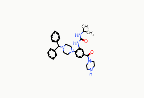 CC(C)NC(=O)Nc1cc(C(=O)N2CCNCC2)ccc1N1CCN(C(c2ccccc2)c2ccccc2)CC1